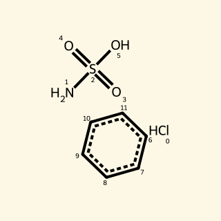 Cl.NS(=O)(=O)O.c1ccccc1